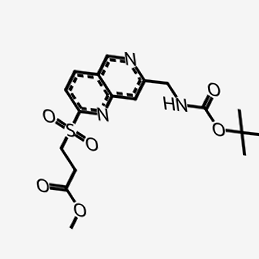 COC(=O)CCS(=O)(=O)c1ccc2cnc(CNC(=O)OC(C)(C)C)cc2n1